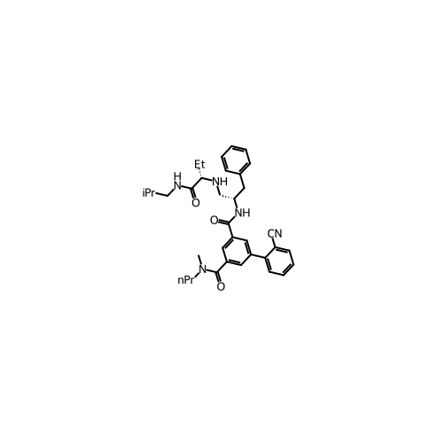 CCCN(C)C(=O)c1cc(C(=O)N[C@H](CN[C@@H](CC)C(=O)NCC(C)C)Cc2ccccc2)cc(-c2ccccc2C#N)c1